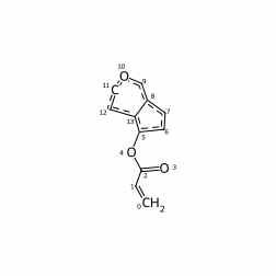 C=CC(=O)Oc1ccc2coccc1-2